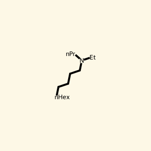 CCCCCCCCCCN(CC)CCC